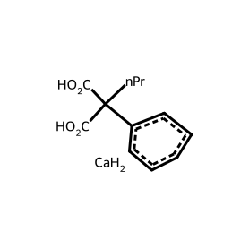 CCCC(C(=O)O)(C(=O)O)c1ccccc1.[CaH2]